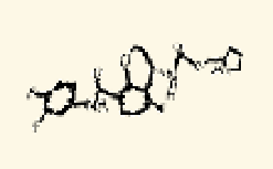 O=C(N[C@H]1CCOc2c(C(=O)Nc3ccc(F)c(F)c3)ccc(F)c21)OCC1CCCN1